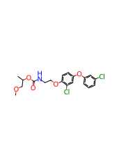 COCC(C)OC(=O)NCCOc1ccc(Oc2cccc(Cl)c2)cc1Cl